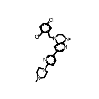 CN1CCN(c2ccc(-c3cnc4c(c3)N(Cc3cc(Cl)ccc3Cl)CCN4C)cn2)CC1